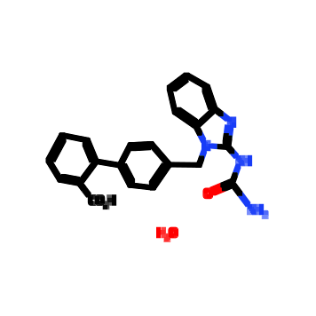 NC(=O)Nc1nc2ccccc2n1Cc1ccc(-c2ccccc2C(=O)O)cc1.O